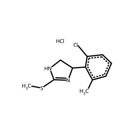 CSC1=NC(c2c(C)cccc2Cl)CN1.Cl